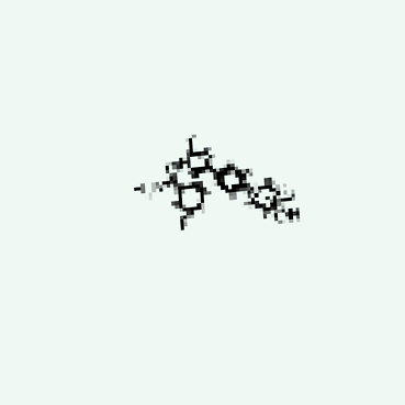 Cc1nc([C@@H]2CC[C@H](F)C[C@H]2C(N)=O)c(-c2ccc(N3CCC(C)(O)CC3)cc2)s1